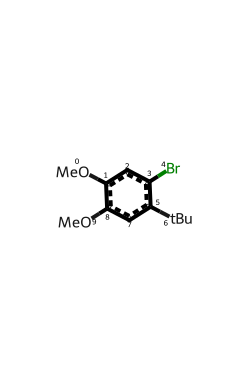 COc1cc(Br)c(C(C)(C)C)cc1OC